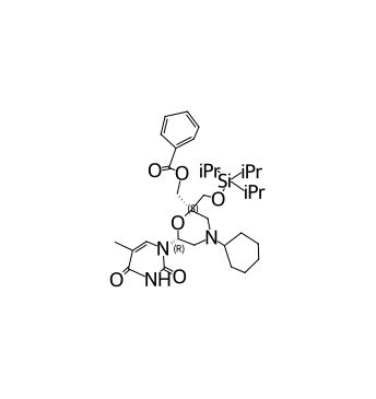 Cc1cn([C@H]2CN(C3CCCCC3)C[C@](COC(=O)c3ccccc3)(CO[Si](C(C)C)(C(C)C)C(C)C)O2)c(=O)[nH]c1=O